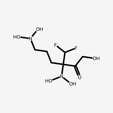 O=C(CO)C(CCCN(O)O)(C(F)F)N(O)O